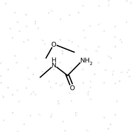 CNC(N)=O.COC